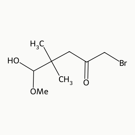 COC(O)C(C)(C)CC(=O)CBr